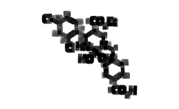 CCOC(=O)C1=CN(Cc2ccc(C(=O)O)cc2)S(O)(O)NC1c1ccc(Cl)cc1Cl